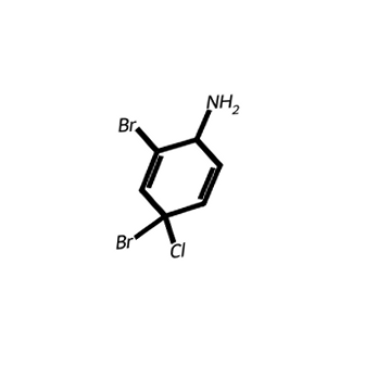 NC1C=CC(Cl)(Br)C=C1Br